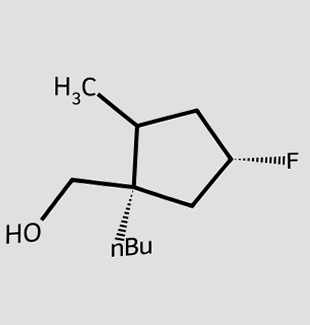 CCCC[C@@]1(CO)C[C@@H](F)CC1C